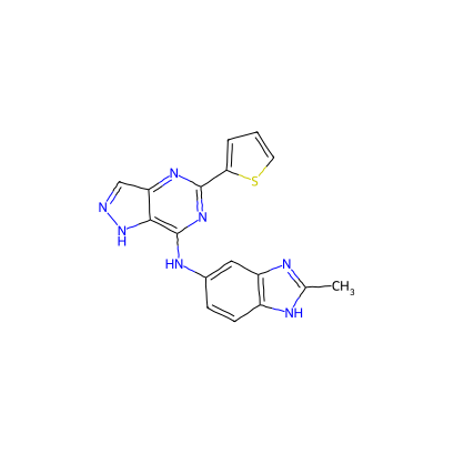 Cc1nc2cc(Nc3nc(-c4cccs4)nc4cn[nH]c34)ccc2[nH]1